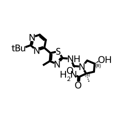 Cc1nc(NC(=O)N2C[C@H](O)C[C@@]2(C)C(N)=O)sc1-c1ccnc(C(C)(C)C)n1